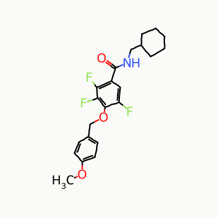 COc1ccc(COc2c(F)cc(C(=O)NCC3CCCCC3)c(F)c2F)cc1